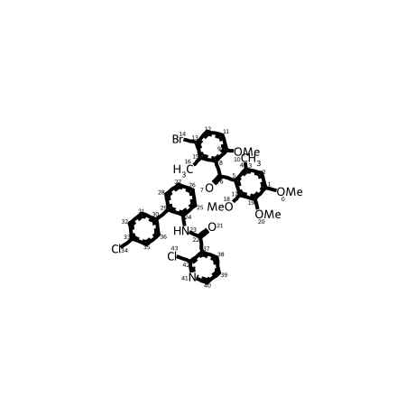 COc1cc(C)c(C(=O)c2c(OC)ccc(Br)c2C)c(OC)c1OC.O=C(Nc1ccccc1-c1ccc(Cl)cc1)c1cccnc1Cl